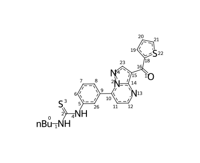 CCCCNC(=S)Nc1cccc(-c2ccnc3c(C(=O)c4cccs4)cnn23)c1